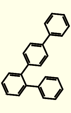 [c]1ccc(-c2ccc(-c3ccccc3)cc2)c(-c2ccccc2)c1